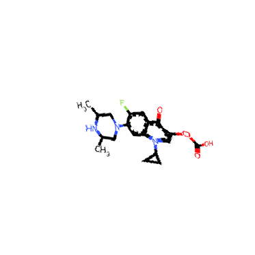 CC1CN(c2cc3c(cc2F)c(=O)c(OC(=O)O)cn3C2CC2)CC(C)N1